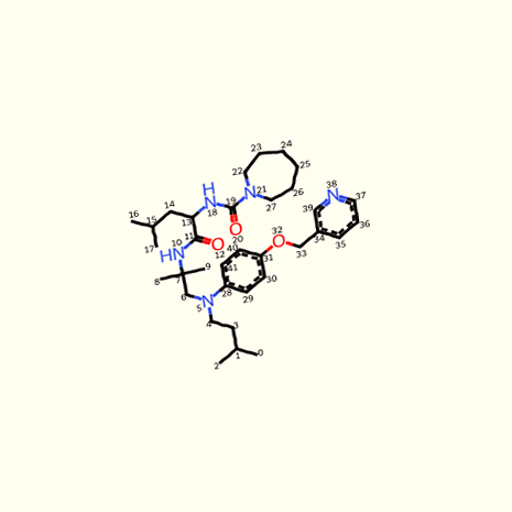 CC(C)CCN(CC(C)(C)NC(=O)C(CC(C)C)NC(=O)N1CCCCCC1)c1ccc(OCc2cccnc2)cc1